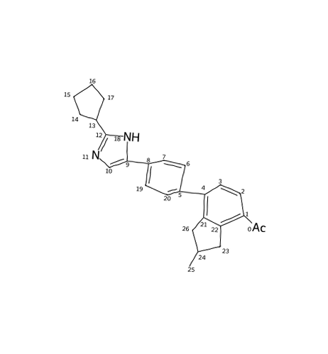 CC(=O)c1ccc(-c2ccc(-c3cnc(C4CCCC4)[nH]3)cc2)c2c1CC(C)C2